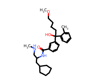 CNCC(CC1CCCCC1)NC(=O)c1cccc(C(O)(CCCCOC)c2ccccc2C)c1